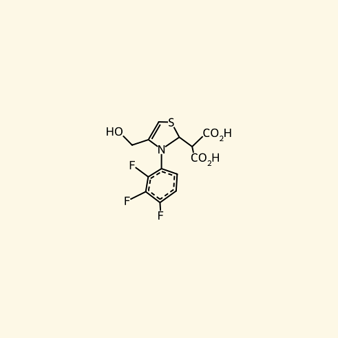 O=C(O)C(C(=O)O)C1SC=C(CO)N1c1ccc(F)c(F)c1F